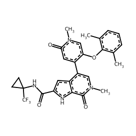 Cc1cccc(C)c1Oc1cn(C)c(=O)cc1-c1cn(C)c(=O)c2[nH]c(C(=O)NC3(C(F)(F)F)CC3)cc12